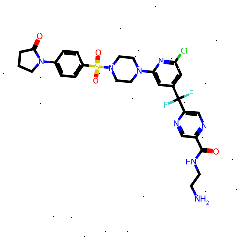 NCCNC(=O)c1cnc(C(F)(F)c2cc(Cl)nc(N3CCN(S(=O)(=O)c4ccc(N5CCCC5=O)cc4)CC3)c2)cn1